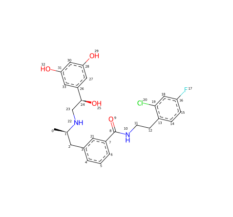 C[C@H](Cc1cccc(C(=O)NCCc2ccc(F)cc2Cl)c1)NC[C@H](O)c1cc(O)cc(O)c1